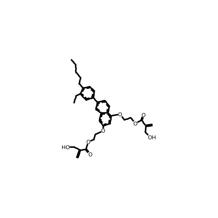 C=C(CO)C(=O)OCCOc1cc(OCCOC(=O)C(=C)CO)c2ccc(-c3ccc(CCCCC)c(CC)c3)cc2c1